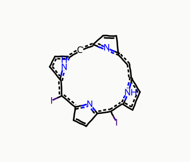 Ic1c2nc(c(I)c3ccc(cc4nc(cc5ccc1[nH]5)C=C4)[nH]3)C=C2